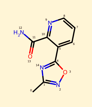 Cc1noc(-c2cccnc2C(N)=O)n1